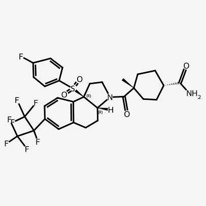 C[C@]1(C(=O)N2CC[C@@]3(S(=O)(=O)c4ccc(F)cc4)c4ccc(C(F)(C(F)(F)F)C(F)(F)F)cc4CC[C@@H]23)CC[C@@H](C(N)=O)CC1